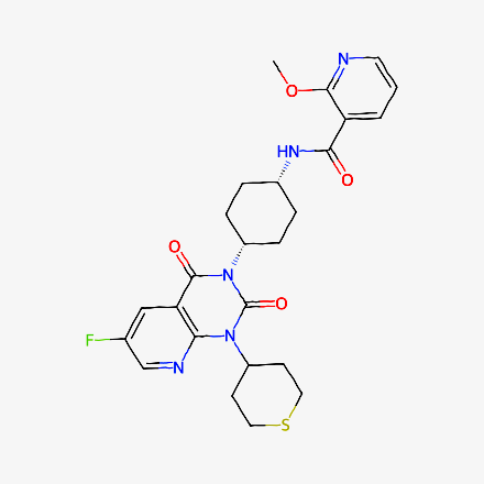 COc1ncccc1C(=O)N[C@H]1CC[C@@H](n2c(=O)c3cc(F)cnc3n(C3CCSCC3)c2=O)CC1